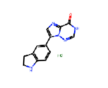 Cl.O=c1[nH]cnn2c(-c3ccc4c(c3)CCN4)cnc12